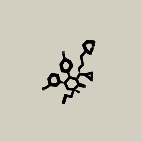 C=CC[C@@]1(C)C[C@H](c2cccc(Cl)c2)[C@@H](c2ccc(Cl)cc2)N([C@H](CSCc2ccccc2)C2CC2)C1=O